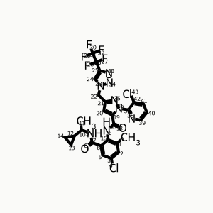 Cc1cc(Cl)cc(C(=O)NC(C)C2CC2)c1NC(=O)c1cc(Cn2cc(C(F)(F)C(F)(F)F)nn2)nn1-c1ncccc1Cl